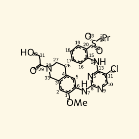 COc1cc2c(cc1Nc1ncc(Cl)c(Nc3ccccc3S(=O)(=O)C(C)C)n1)CCN(C(=O)CO)C2